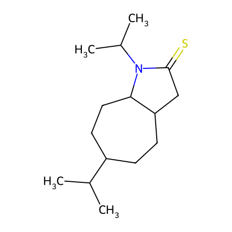 CC(C)C1CCC2CC(=S)N(C(C)C)C2CC1